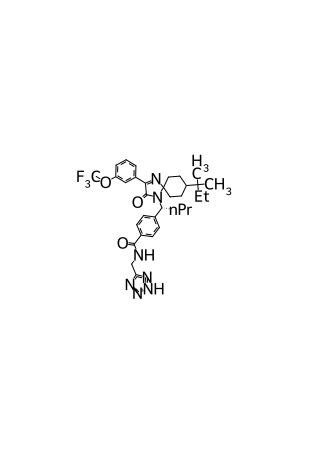 CCC[C@H](c1ccc(C(=O)NCc2nn[nH]n2)cc1)N1C(=O)C(c2cccc(OC(F)(F)F)c2)=NC12CCC(C(C)(C)CC)CC2